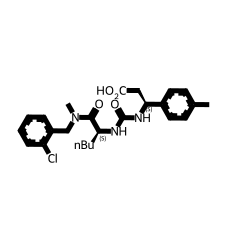 CCCC[C@H](NC(=O)N[C@@H](CC(=O)O)c1ccc(C)cc1)C(=O)N(C)Cc1ccccc1Cl